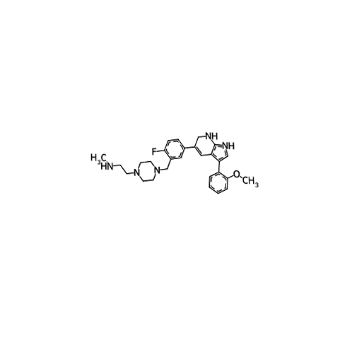 CNCCN1CCN(Cc2cc(C3=Cc4c(-c5ccccc5OC)c[nH]c4NC3)ccc2F)CC1